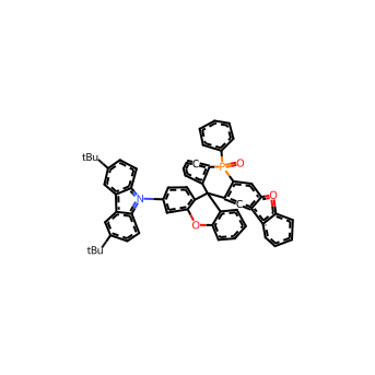 CC(C)(C)c1ccc2c(c1)c1cc(C(C)(C)C)ccc1n2-c1ccc2c(c1)Oc1ccccc1C21c2ccccc2P(=O)(c2ccccc2)c2cc3oc4ccccc4c3cc21